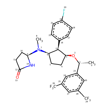 C[C@@H](O[C@H]1CC[C@@H](N(C)[C@@H]2CCC(=O)N2)[C@H]1c1ccc(F)cc1)c1cc(C(F)(F)F)cc(C(F)(F)F)c1